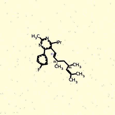 CC(C)=C[C@H](C)C[C@H](C)/C=C/c1c(-c2ccc(F)cc2)nc(C)nc1C(C)C